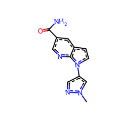 Cn1cc(-n2ccc3cc(C(N)=O)cnc32)cn1